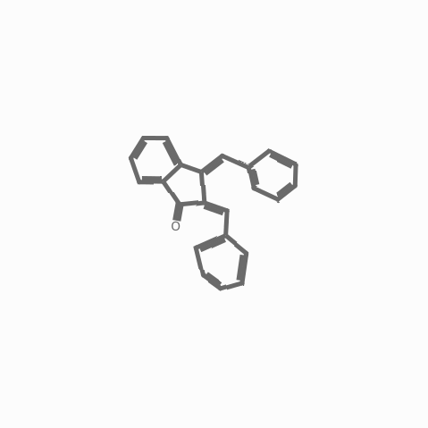 O=C1C(=Cc2ccccc2)C(=Cc2ccccc2)c2ccccc21